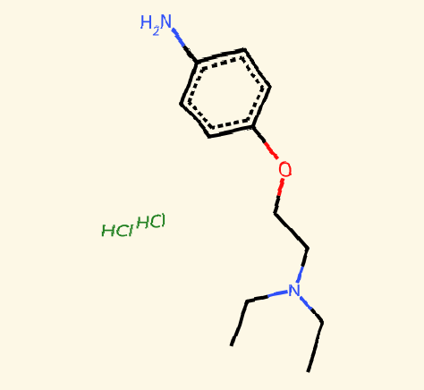 CCN(CC)CCOc1ccc(N)cc1.Cl.Cl